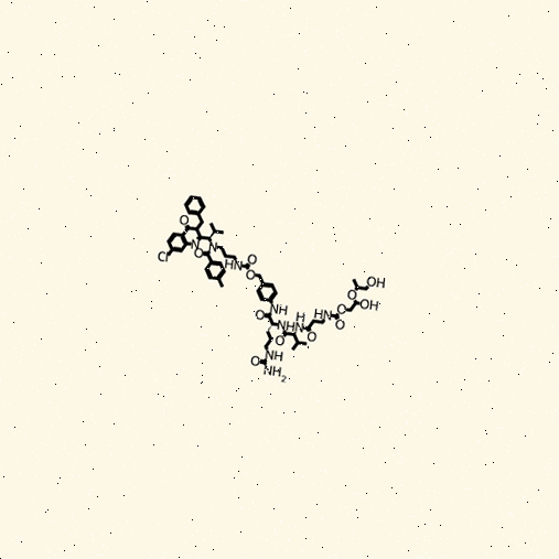 Cc1ccc(C(=O)N(CCCNC(=O)OCc2ccc(NC(=O)[C@@H](CCCNC(N)=O)NC(=O)[C@H](NC(=O)CCNC(=O)OCC(O)OC(C)CO)C(C)C)cc2)[C@@H](C2=Nc3cc(Cl)ccc3C(=O)C2Cc2ccccc2)C(C)C)cc1